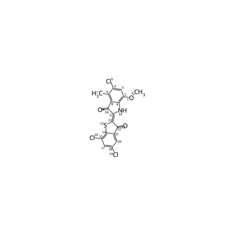 COc1cc(Cl)c(C)c2c1NC(=C1Sc3c(Cl)cc(Cl)cc3C1=O)C2=O